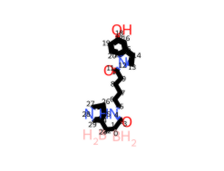 BC(C(=O)NCCCCCC(=O)n1ccc2cc(O)ccc21)C(B)c1cccnc1